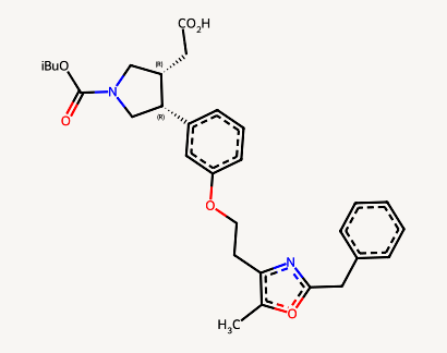 Cc1oc(Cc2ccccc2)nc1CCOc1cccc([C@@H]2CN(C(=O)OCC(C)C)C[C@@H]2CC(=O)O)c1